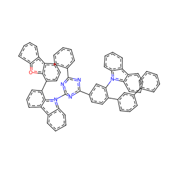 c1ccc(-c2cccc(-c3ccc(-c4nc(-c5ccccc5)nc(-n5c6ccccc6c6cccc(-c7cccc8c7oc7ccccc78)c65)n4)cc3-n3c4ccccc4c4ccccc43)c2)cc1